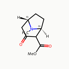 COC(=O)C1C(=O)C[C@@H]2CC[C@@H]1N2C